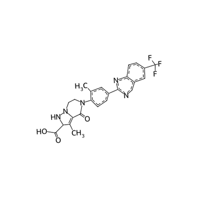 CC1=C2C(=O)N(c3ccc(-c4ncc5cc(C(F)(F)F)ccc5n4)cc3C)CCN2NC1C(=O)O